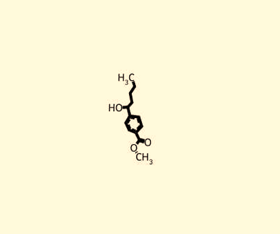 CCCCC(O)c1ccc(C(=O)OC)cc1